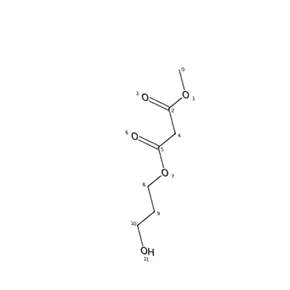 COC(=O)CC(=O)OCCCO